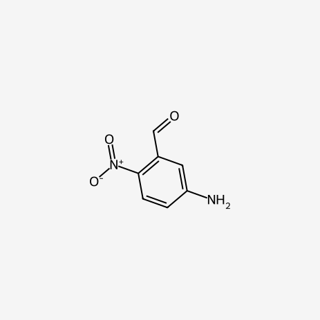 Nc1ccc([N+](=O)[O-])c(C=O)c1